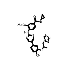 COc1cc(C(=O)NC2CC2)ccc1Nc1ncc(-c2ccc(C#N)c(OC(C)Cn3cnnn3)c2)cn1